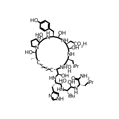 CCC(C)[C@H](N[C@@H](O)[C@H](Cc1c[nH]cn1)N[C@H](O)[C@@H]1CSSC[C@H](C)[C@@H](O)N2CCC[C@H]2[C@H](O)N[C@@H](Cc2ccc(O)cc2)[C@@H](O)N[C@@H](CC(=O)O)[C@@H](O)N[C@@H](CC(C)C)[C@H](O)N1)[C@@H](O)N[C@@H](CC(C)C)C(N)=O